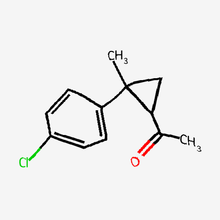 CC(=O)C1CC1(C)c1ccc(Cl)cc1